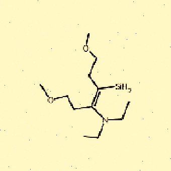 CCN(CC)C(CCOC)=C([SiH3])CCOC